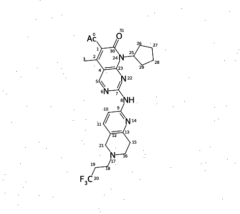 CC(=O)c1c(C)c2cnc(Nc3ccc4c(n3)CCN(CCC(F)(F)F)C4)nc2n(C2CCCC2)c1=O